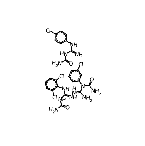 N=C(N)N(C(N)=O)c1cccc(Cl)c1.N=C(NC(N)=O)Nc1c(Cl)cccc1Cl.N=C(NC(N)=O)Nc1ccc(Cl)cc1